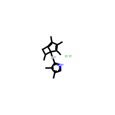 CC1=C(C)[C]2([Zr+2][c]3[nH]cc(C)c3C)C(=C1C)CC2C.[Cl-].[Cl-]